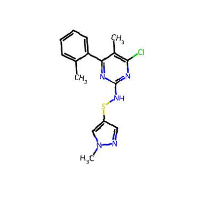 Cc1ccccc1-c1nc(NSc2cnn(C)c2)nc(Cl)c1C